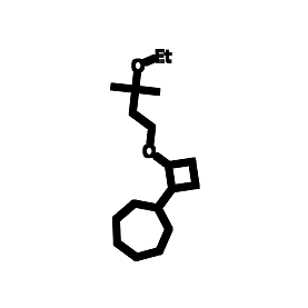 CCOC(C)(C)CCOC1CCC1C1CCCCCC1